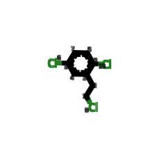 ClCCc1cc(Cl)ccc1Cl